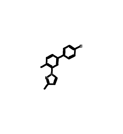 Cc1ccn(-c2cc(-c3ccc(Cl)cc3)ccc2C)n1